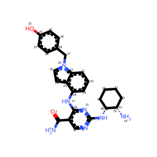 NC(=O)c1cnc(N[C@@H]2CCCC[C@@H]2N)nc1Nc1cccc2c1ccn2Cc1ccc(O)cc1